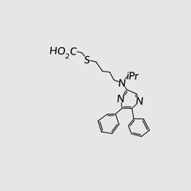 CC(C)N(CCCCSCC(=O)O)c1cnc(-c2ccccc2)c(-c2ccccc2)n1